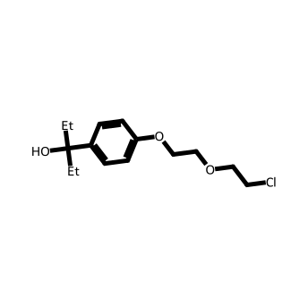 CCC(O)(CC)c1ccc(OCCOCCCl)cc1